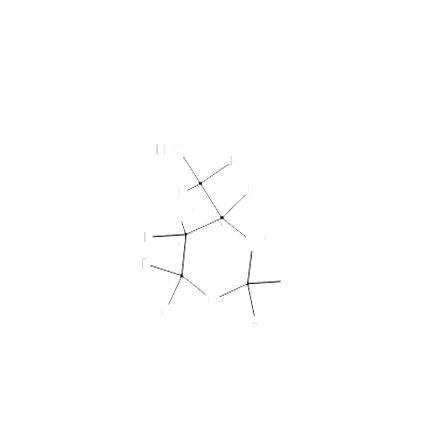 CC(F)(F)C1(F)OC(F)(F)OC(C)(F)C1(F)F